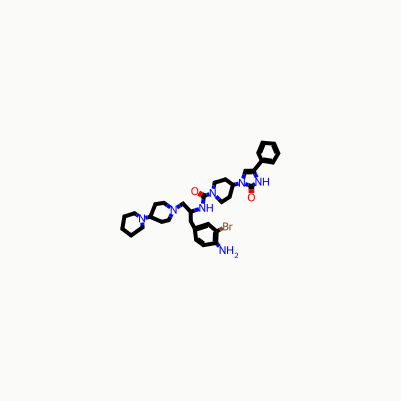 Nc1ccc(CC(CN2CCC(N3CCCCC3)CC2)NC(=O)N2CCC(n3cc(-c4ccccc4)[nH]c3=O)CC2)cc1Br